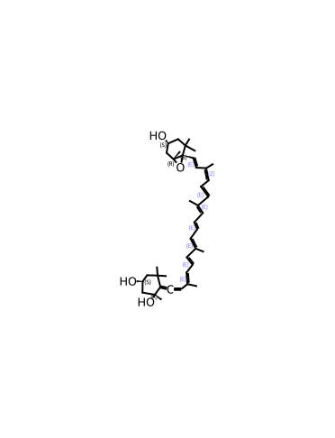 CC(=C/C=C/C(C)=C/C=C/C=C(C)/C=C/C=C(\C)C=C=C1C(C)(C)C[C@H](O)C[C@@]1(C)O)/C=C/[C@@]12O[C@]1(C)C[C@@H](O)CC2(C)C